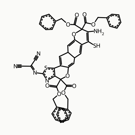 N#CC(C#N)=Nc1nc2c(s1)C1=CC3C=C4OC(C(=O)OCc5ccccc5)(C(=O)OCc5ccccc5)C(N)=C(S)C4=CC3C=C1OC2(C(=O)OCc1ccccc1)C(=O)OCc1ccccc1